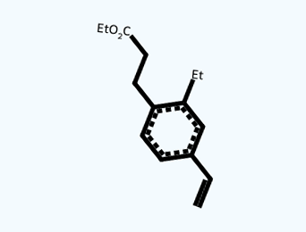 C=Cc1ccc(CCC(=O)OCC)c(CC)c1